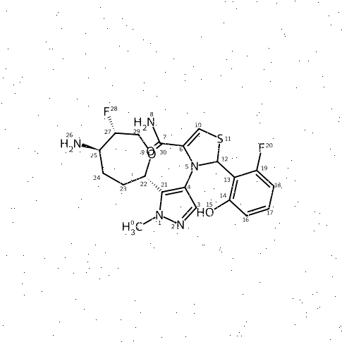 Cn1ncc(N2C(C(N)=O)=CSC2c2c(O)cccc2F)c1[C@@H]1CC[C@@H](N)[C@H](F)CO1